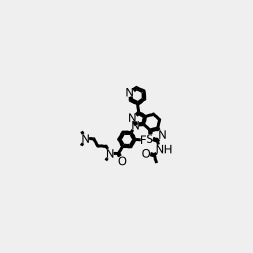 CC(=O)Nc1nc2c(s1)-c1c(c(-c3cccnc3)nn1-c1ccc(C(=O)N(C)CCCN(C)C)cc1F)CC2